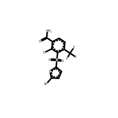 NC(=O)c1ccc(C(F)(F)F)c(S(=O)(=O)c2ccc(Br)s2)c1Cl